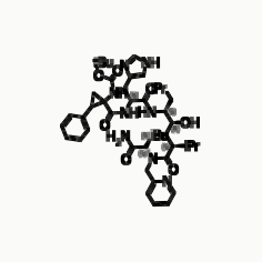 CC[C@H](C)[C@@H](C(N)=O)N(Cc1ccccn1)C(=O)[C@@H](C[C@H](O)[C@H](CC(C)C)NC(=O)[C@H](Cc1c[nH]cn1)NC(=O)C1(NC(=O)OC(C)(C)C)CC1c1ccccc1)C(C)C